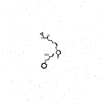 O=C(CCC/C=C\C[C@H]1C=CC(=O)[C@@H]1/C=C/[C@@H](O)COc1ccccc1)NC1CC1